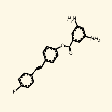 Nc1cc(N)cc(C(=O)Oc2ccc(C#Cc3ccc(F)cc3)cc2)c1